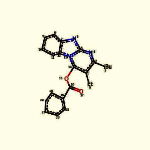 CCc1c(C(C)CC)nc2nc3ccccc3n2c1OC(=O)c1ccccc1